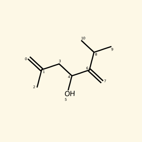 C=C(C)CC(O)C(=C)C(C)C